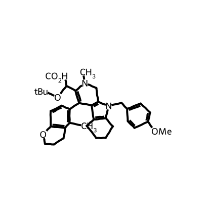 COc1ccc(Cn2c3c(c4c2CN(C)C(C(OC(C)(C)C)C(=O)O)=C4c2ccc4c(c2C)CCCO4)CCCC3)cc1